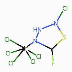 FC1SN(Cl)N[N]1[Ir]([Cl])([Cl])([Cl])([Cl])[Cl]